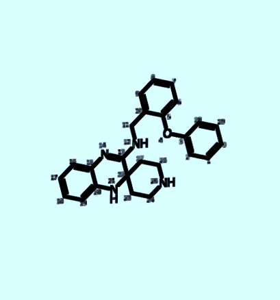 c1ccc(Oc2ccccc2CNC2=Nc3ccccc3NC23CCNCC3)cc1